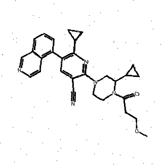 COCCC(=O)N1CCN(c2nc(C3CC3)c(-c3cccc4cnccc34)cc2C#N)CC1C1CC1